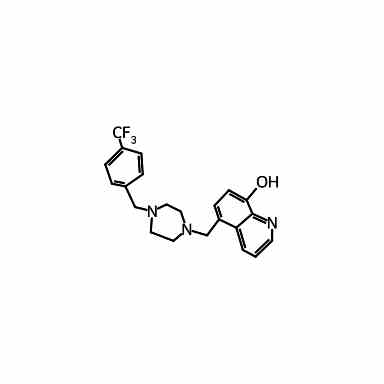 Oc1ccc(CN2CCN(Cc3ccc(C(F)(F)F)cc3)CC2)c2cccnc12